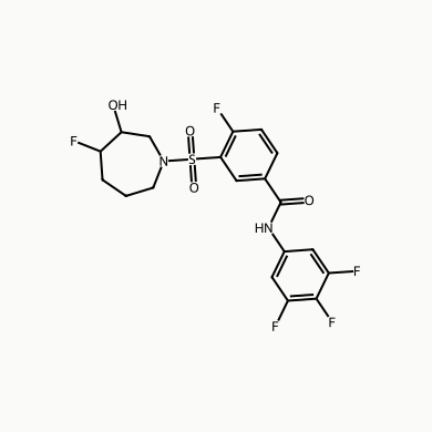 O=C(Nc1cc(F)c(F)c(F)c1)c1ccc(F)c(S(=O)(=O)N2CCCC(F)C(O)C2)c1